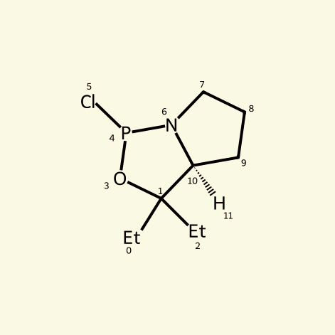 CCC1(CC)OP(Cl)N2CCC[C@H]21